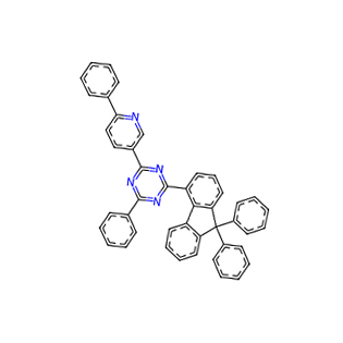 c1ccc(-c2ccc(-c3nc(-c4ccccc4)nc(-c4cccc5c4-c4ccccc4C5(c4ccccc4)c4ccccc4)n3)cn2)cc1